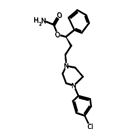 NC(=O)O[C@H](CCN1CCN(c2ccc(Cl)cc2)CC1)c1ccccc1